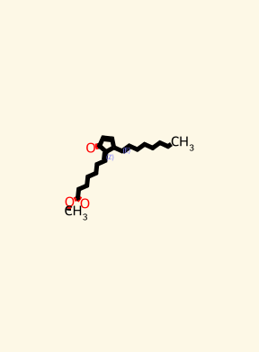 CCCCCC/C=C/C1C=CC(=O)/C1=C\CCCCCC(=O)OC